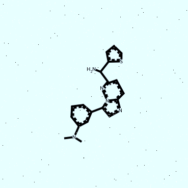 CN(C)c1cccc(-c2cnc3ccc(C(N)c4cccs4)nn23)c1